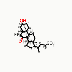 CC[C@H]1C(=O)[C@@H]2[C@H](CC[C@]3(C)[C@@H]([C@H](C)CC(C)C(=O)O)CC[C@@H]23)[C@@]2(C)CC[C@H](O)C[C@@H]12